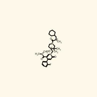 C[C@H](CC1CCCCC1)C(=O)N1CC[C@](O)(Cn2cc(C(=O)N(C)C)c(-c3ccccc3F)cc2=O)C(C)(C)C1